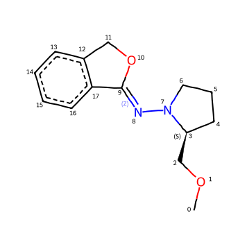 COC[C@@H]1CCCN1/N=C1\OCc2ccccc21